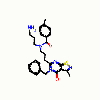 Cc1ccc(C(=O)N(CCCN)CCCc2nc3snc(C)c3c(=O)n2Cc2ccccc2)cc1